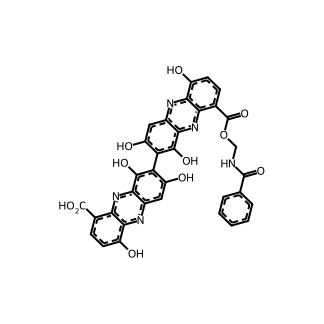 O=C(NCOC(=O)c1ccc(O)c2nc3cc(O)c(-c4c(O)cc5nc6c(O)ccc(C(=O)O)c6nc5c4O)c(O)c3nc12)c1ccccc1